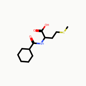 CSCCC(NC(=O)C1CCCCC1)C(=O)O